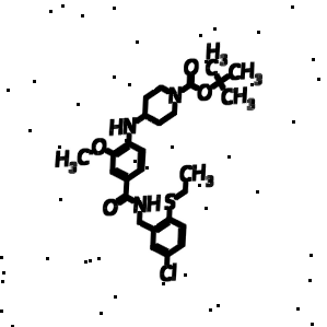 CCSc1ccc(Cl)cc1CNC(=O)c1ccc(NC2CCN(C(=O)OC(C)(C)C)CC2)c(OC)c1